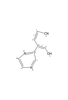 N#C/C=C\C(=C\O)c1cnccn1